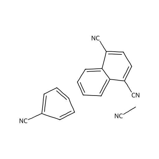 CC#N.N#Cc1ccc(C#N)c2ccccc12.N#Cc1ccccc1